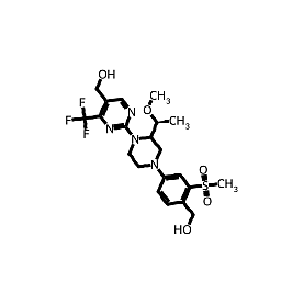 CO[C@@H](C)C1CN(c2ccc(CO)c(S(C)(=O)=O)c2)CCN1c1ncc(CO)c(C(F)(F)F)n1